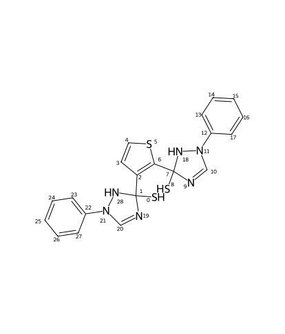 SC1(c2ccsc2C2(S)N=CN(c3ccccc3)N2)N=CN(c2ccccc2)N1